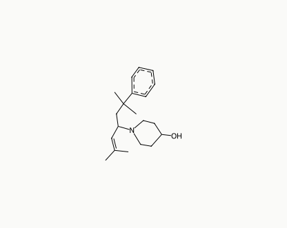 CC(C)=CC(CC(C)(C)c1ccccc1)N1CCC(O)CC1